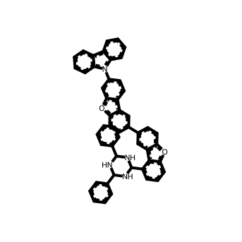 c1ccc(C2NC(c3ccccc3)NC(c3cccc4oc5ccc(-c6ccc7oc8cc(-n9c%10ccccc%10c%10ccccc%109)ccc8c7c6)cc5c34)N2)cc1